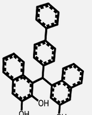 Oc1cc(C(c2ccc(-c3ccccc3)cc2)c2c(O)c(O)cc3ccccc23)c2ccccc2c1